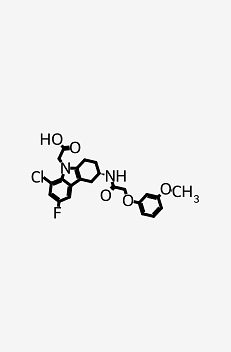 COc1cccc(OCC(=O)N[C@H]2CCc3c(c4cc(F)cc(Cl)c4n3CC(=O)O)C2)c1